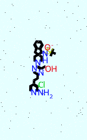 CC(C)(C)[S+]([O-])NC1c2ccccc2CC12CCN(c1ncc(CCc3ccnc(N)c3Cl)nc1CO)CC2